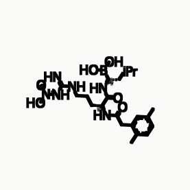 Cc1ccc(C)c(CC(=O)N[C@@H](CCCNC(=N)N[N+](=O)O)C(=O)N[C@@H](CC(C)C)B(O)O)c1